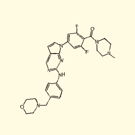 CN1CCN(C(=O)c2c(F)cc(-n3ccc4cnc(Nc5ccc(CN6CCOCC6)cc5)nc43)cc2F)CC1